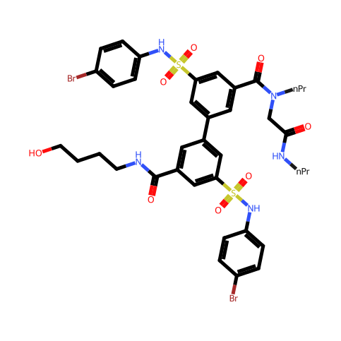 CCCNC(=O)CN(CCC)C(=O)c1cc(-c2cc(C(=O)NCCCCO)cc(S(=O)(=O)Nc3ccc(Br)cc3)c2)cc(S(=O)(=O)Nc2ccc(Br)cc2)c1